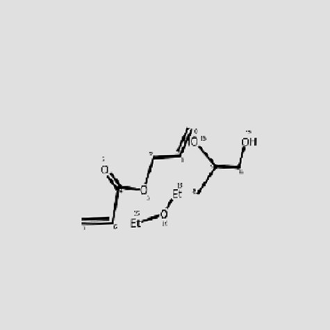 C=CCOC(=O)C=C.CC(O)CO.CCOCC